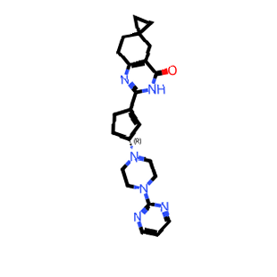 O=c1[nH]c(C2=C[C@H](N3CCN(c4ncccn4)CC3)CC2)nc2c1CC1(CC2)CC1